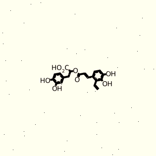 C=Cc1c(/C=C/C(=O)OC(Cc2ccc(O)c(O)c2)C(=O)O)ccc(O)c1O